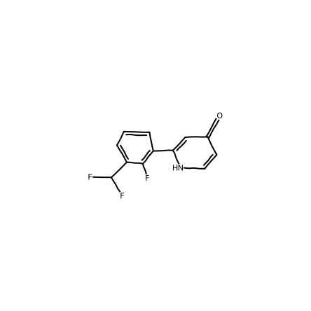 O=c1cc[nH]c(-c2cccc(C(F)F)c2F)c1